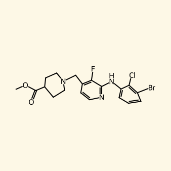 COC(=O)C1CCN(Cc2ccnc(Nc3cccc(Br)c3Cl)c2F)CC1